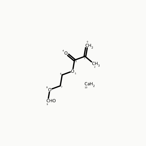 C=C(C)C(=O)OCCOC=O.[CaH2]